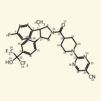 C[C@]1(c2ccc(F)cc2)CN(C(=O)C2CCN(c3ncc(C#N)cn3)CC2)C[C@H]1c1ccc(C(O)(C(F)(F)F)C(F)(F)F)cc1